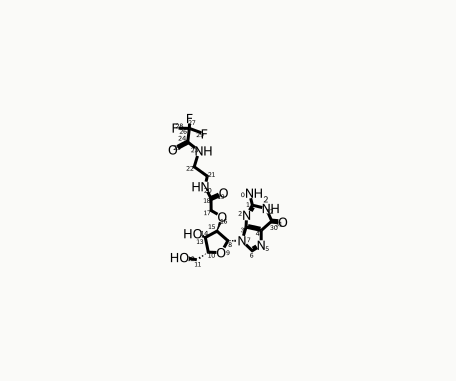 Nc1nc2c(ncn2[C@@H]2O[C@H](CO)[C@@H](O)[C@H]2OCC(=O)NCCNC(=O)C(F)(F)F)c(=O)[nH]1